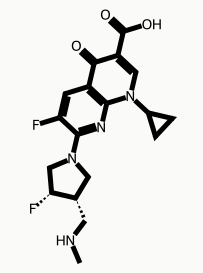 CNC[C@H]1CN(c2nc3c(cc2F)c(=O)c(C(=O)O)cn3C2CC2)C[C@H]1F